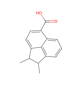 CC1c2cccc3c(C(=O)O)ccc(c23)C1C